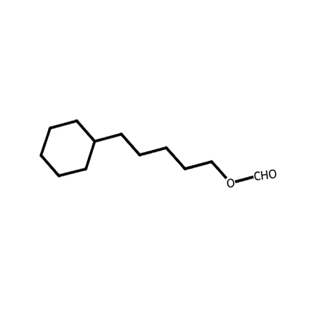 O=COCCCCCC1CCCCC1